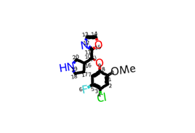 COc1cc(Cl)c(F)cc1O[C@H](c1ncco1)C1CCNC1